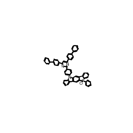 O=P1(c2ccccc2)c2ccccc2-c2cc3c(cc21)c1ccccc1n3-c1ccc(-c2nc(-c3ccc(-c4ccccc4)cc3)cc(-c3ccc(-c4ccccc4)cc3)n2)cc1